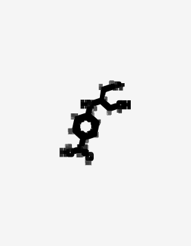 CC(C)C[C@@H](CO)Nc1ccc([N+](=O)O)cc1